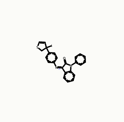 O=C1/C(=N\c2ccc(C3(I)C=CSC3)cc2)c2ccccc2N1c1ccccc1